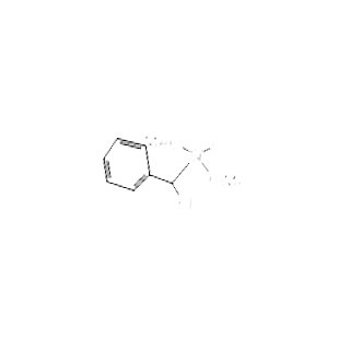 CO[Si](C)(OC)C(C)c1ccccc1